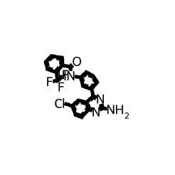 Nc1nc(-c2cccc(NC(=O)c3ccccc3C(F)(F)F)c2)c2cc(Cl)ccc2n1